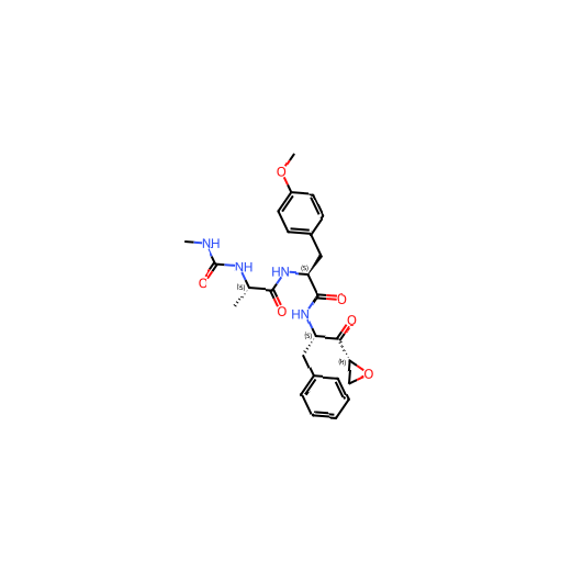 CNC(=O)N[C@@H](C)C(=O)N[C@@H](Cc1ccc(OC)cc1)C(=O)N[C@@H](Cc1ccccc1)C(=O)[C@H]1CO1